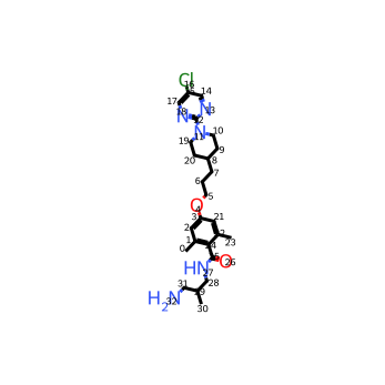 Cc1cc(OCCCC2CCN(c3ncc(Cl)cn3)CC2)cc(C)c1C(=O)NCC(C)CN